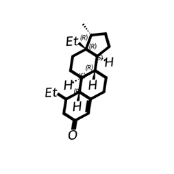 CCC1CC(=O)C=C2CC[C@@H]3[C@H](CC[C@]4(CC)[C@H](C)CC[C@@H]34)[C@H]21